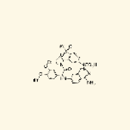 CCOc1cc([C@H](Nc2ccc3c(N)nccc3c2)C(=O)N2CCC[C@@H]2c2cc(NC(=O)O)ccc2S(=O)(=O)C(C)C)ccc1OC(C)C